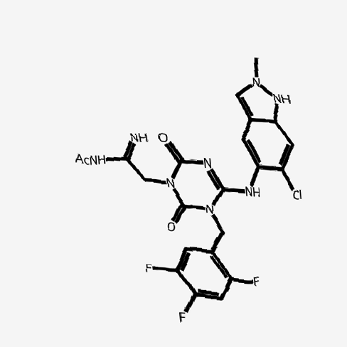 CC(=O)NC(=N)Cn1c(=O)nc(NC2=CC3=CN(C)NC3C=C2Cl)n(Cc2cc(F)c(F)cc2F)c1=O